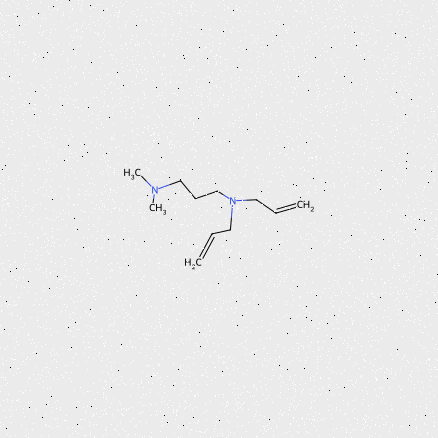 C=CCN(CC=C)CCCN(C)C